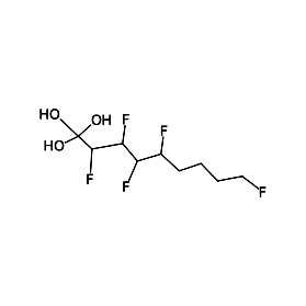 OC(O)(O)C(F)C(F)C(F)C(F)CCCCF